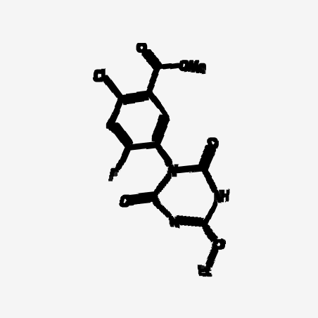 CCOc1nc(=O)n(-c2cc(C(=O)OC)c(Cl)cc2F)c(=O)[nH]1